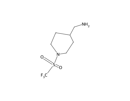 NCC1CCN(S(=O)(=O)C(F)(F)F)CC1